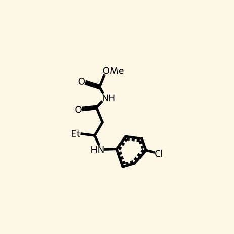 CCC(CC(=O)NC(=O)OC)Nc1ccc(Cl)cc1